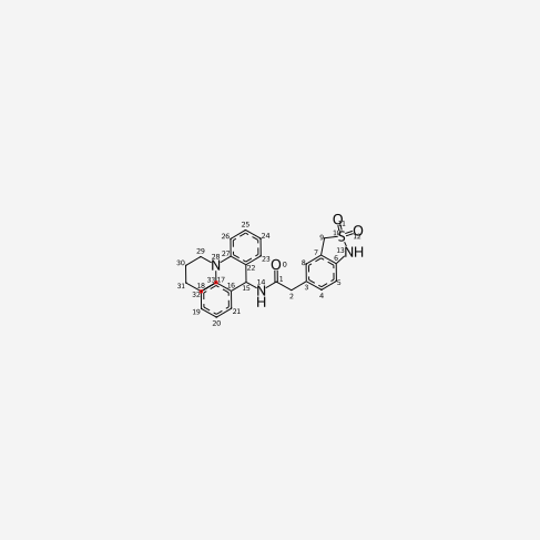 O=C(Cc1ccc2c(c1)CS(=O)(=O)N2)NC(c1ccccc1)c1ccccc1N1CCCCC1